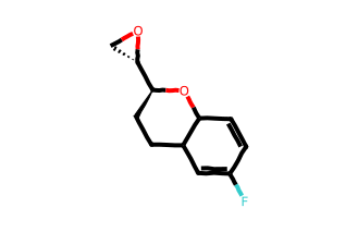 FC1=CC2CC[C@@H]([C@@H]3CO3)OC2C=C1